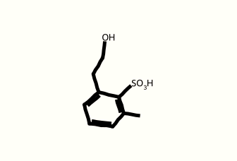 Cc1cccc(CCO)c1S(=O)(=O)O